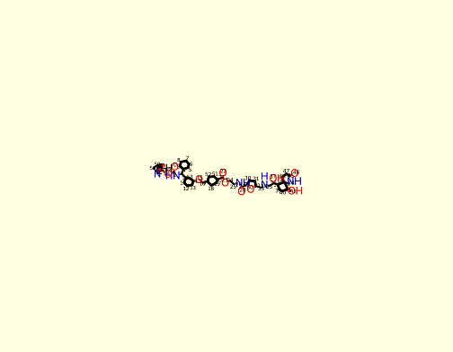 O=C(N[C@@H](c1ccccc1)c1cccc(OCc2ccc(C(=O)OCCNC(=O)c3ccc(CNC[C@H](O)c4ccc(O)c5[nH]c(=O)ccc45)o3)cc2)c1)O[C@H]1CN2CCC1CC2